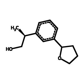 C[C@H](CO)c1cccc(C2CCCO2)c1